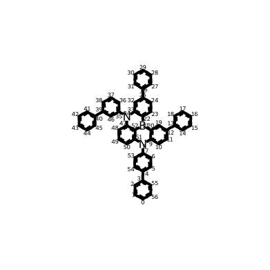 c1ccc(-c2ccc(N3c4ccc(-c5ccccc5)cc4B4c5ccc(-c6ccccc6)cc5N(c5cccc(-c6ccccc6)c5)c5cccc3c54)cc2)cc1